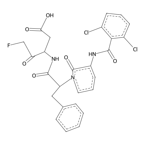 O=C(O)CC(NC(=O)C(Cc1ccccc1)n1cccc(NC(=O)c2c(Cl)cccc2Cl)c1=O)C(=O)CF